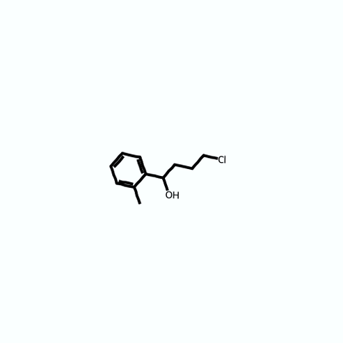 Cc1ccccc1C(O)CCCCl